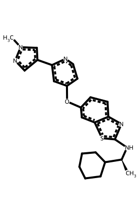 C[C@H](Nc1nc2ccc(Oc3ccnc(-c4cnn(C)c4)c3)cc2s1)C1CCCCC1